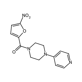 O=C(c1ccc([N+](=O)[O-])o1)N1CCN(c2ccncc2)CC1